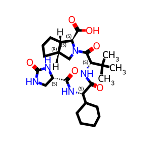 CC(C)(C)[C@H](NC(=O)[C@@H](NC(=O)[C@@H]1CNC(=O)N1)C1CCCCC1)C(=O)N1C[C@@H]2CCC[C@@H]2[C@H]1C(=O)O